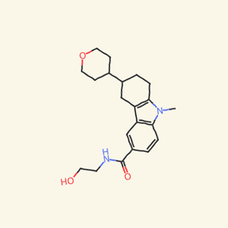 Cn1c2c(c3cc(C(=O)NCCO)ccc31)CC(C1CCOCC1)CC2